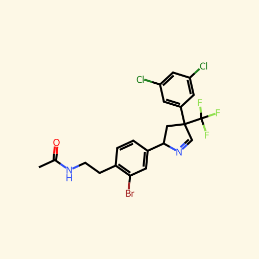 CC(=O)NCCc1ccc(C2CC(c3cc(Cl)cc(Cl)c3)(C(F)(F)F)C=N2)cc1Br